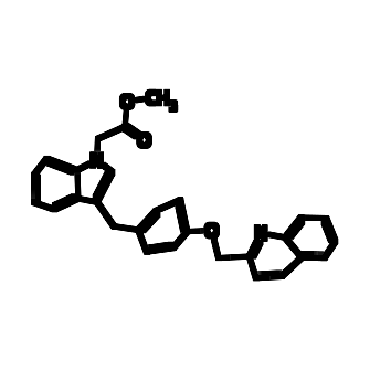 COC(=O)Cn1cc(Cc2ccc(OCc3ccc4ccccc4n3)cc2)c2ccccc21